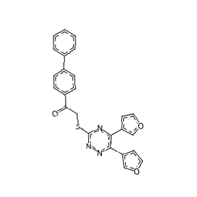 O=C(CSc1nnc(-c2ccoc2)c(-c2ccoc2)n1)c1ccc(-c2ccccc2)cc1